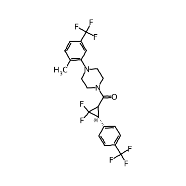 Cc1ccc(C(F)(F)F)cc1N1CCN(C(=O)C2[C@H](c3ccc(C(F)(F)F)cc3)C2(F)F)CC1